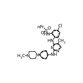 CCCS(=O)(=O)Nc1cc(Cl)ccc1Nc1nc(Nc2ccc(N3CCN(C)CC3)cc2)ncc1C